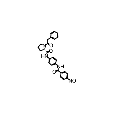 O=Nc1ccc(C(=O)Nc2ccc(NC(=O)[C@@H]3CCCN3C(=O)Cc3ccccc3)cc2)cc1